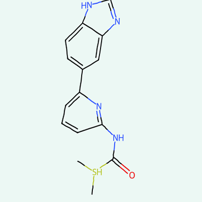 C[SH](C)C(=O)Nc1cccc(-c2ccc3[nH]cnc3c2)n1